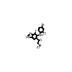 CCOCC(=O)c1cc2[nH]cnc2c(F)c1Nc1ccc(Br)cc1Cl